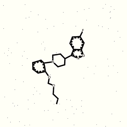 CCCOCOc1[c]cccc1N1CCC(c2noc3cc(F)ccc23)CC1